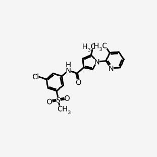 Cc1cccnc1-n1cc(C(=O)Nc2cc(Cl)cc(S(C)(=O)=O)c2)cc1C